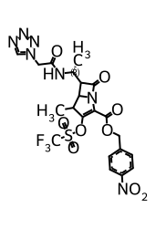 CC1C(OS(=O)(=O)C(F)(F)F)=C(C(=O)OCc2ccc([N+](=O)[O-])cc2)N2C(=O)C([C@@H](C)NC(=O)Cn3cnnn3)C12